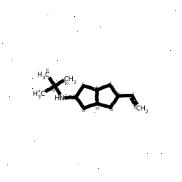 C=CC1CC2CC(NC(C)(C)C)CC2C1